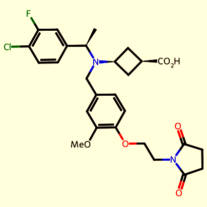 COc1cc(CN([C@H]2C[C@@H](C(=O)O)C2)[C@H](C)c2ccc(Cl)c(F)c2)ccc1OCCN1C(=O)CCC1=O